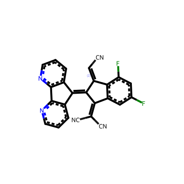 N#C/C=C1/C(=C2c3cccnc3-c3ncccc32)C(=C(C#N)C#N)c2cc(F)cc(F)c21